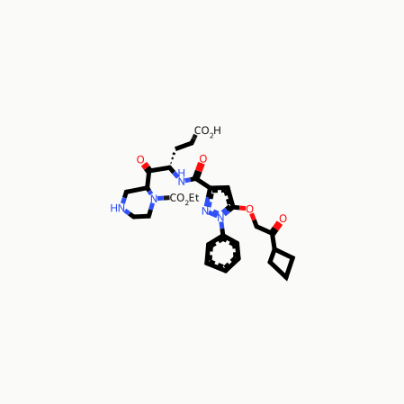 CCOC(=O)N1CCNCC1C(=O)[C@H](CCC(=O)O)NC(=O)c1cc(OCC(=O)C2CCC2)n(-c2ccccc2)n1